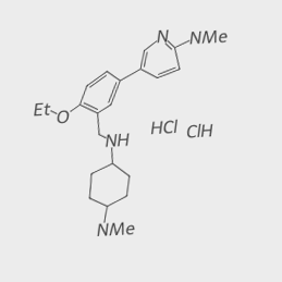 CCOc1ccc(-c2ccc(NC)nc2)cc1CNC1CCC(NC)CC1.Cl.Cl